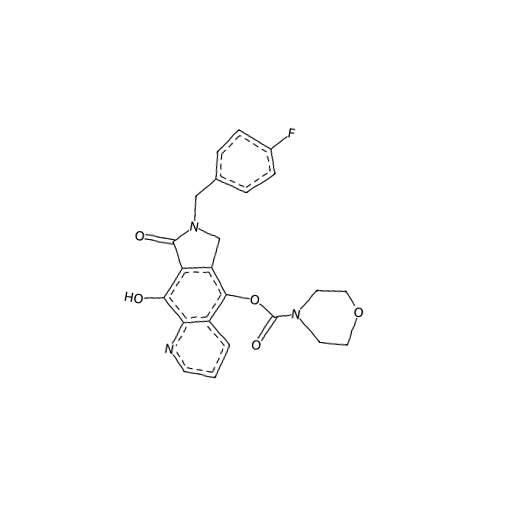 O=C(Oc1c2c(c(O)c3ncccc13)C(=O)N(Cc1ccc(F)cc1)C2)N1CCOCC1